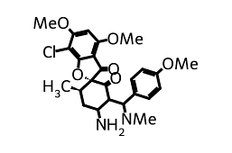 CNC(c1ccc(OC)cc1)C1C(=O)[C@@]2(Oc3c(Cl)c(OC)cc(OC)c3C2=O)[C@H](C)CC1N